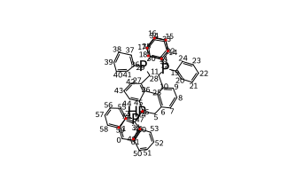 c1ccc(PCc2cccc(CP(c3ccccc3)c3ccccc3)c2-c2c(CP(c3ccccc3)c3ccccc3)cccc2CP(c2ccccc2)c2ccccc2)cc1